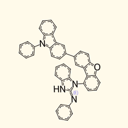 c1ccc(/N=c2\[nH]c3ccccc3n2-c2cccc3oc4ccc(-c5ccc6c(c5)c5ccccc5n6-c5ccccc5)cc4c23)cc1